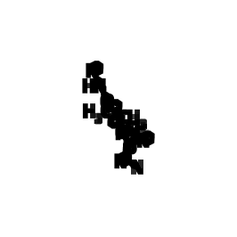 Cc1c(COc2cc(OCc3cncc(C#N)c3)c(CN3CCCC[C@H]3C)cc2Cl)cccc1-c1cccc(OCCCNCCc2ccccn2)c1C